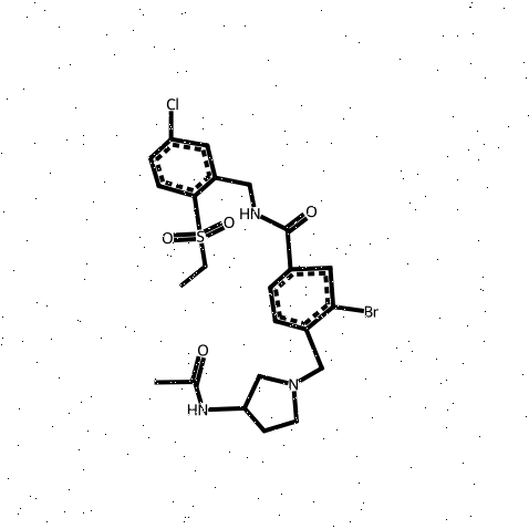 CCS(=O)(=O)c1ccc(Cl)cc1CNC(=O)c1ccc(CN2CCC(NC(C)=O)C2)c(Br)c1